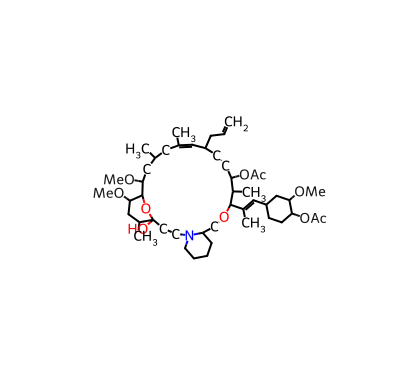 C=CCC1/C=C(/C)CC(C)CC(OC)C2OC(O)(CCN3CCCCC3COC(C(C)=CC3CCC(OC(C)=O)C(OC)C3)C(C)C(OC(C)=O)CC1)C(C)CC2OC